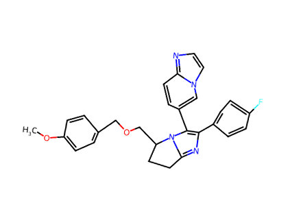 COc1ccc(COCC2CCc3nc(-c4ccc(F)cc4)c(-c4ccc5nccn5c4)n32)cc1